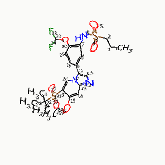 CCCS(=O)(=O)Nc1cc(-c2cnc3cc(OC)c(S(=O)(=O)C(C)(C)C)cn23)ccc1OC(F)F